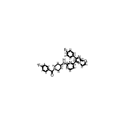 O=C(c1ccc(F)cc1)N1CCC(Nc2nccc(-c3c(-c4ccc(F)cc4)nc4occn34)n2)CC1